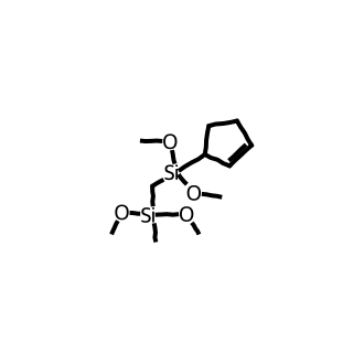 CO[Si](C)(C[Si](OC)(OC)C1C=CCC1)OC